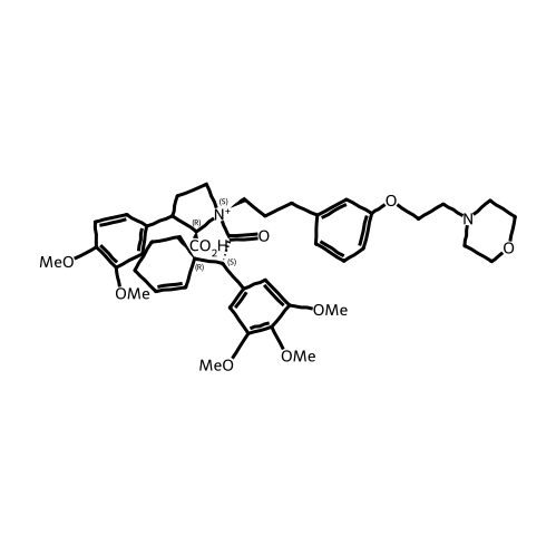 COc1ccc(C2CC[N@+](CCCc3cccc(OCCN4CCOCC4)c3)(C(=O)[C@H](c3cc(OC)c(OC)c(OC)c3)[C@H]3C=CCCC3)[C@H]2C(=O)O)cc1OC